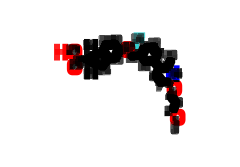 COCCCOc1ccc(-c2ccc(F)c(COc3ccc4c(c3)C[C@H]3[C@H](C(=O)O)[C@@H]43)c2)c(C)n1